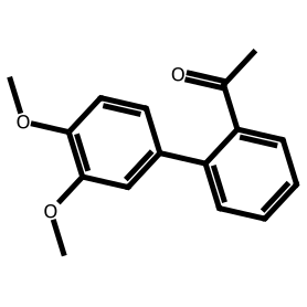 COc1ccc(-c2ccccc2C(C)=O)cc1OC